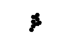 c1ccc(-c2ccc(N(c3ccccc3)c3ccc4cccc(-c5ccc(N(c6ccccc6)c6ccccc6)cc5)c4c3)cc2)cc1